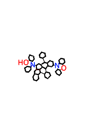 Oc1ccccc1N(c1ccccc1)c1ccc2c(-c3ccccc3-c3cccc4ccccc34)c3cc(N4c5ccccc5Oc5ccccc54)ccc3c(-c3ccccc3)c2c1